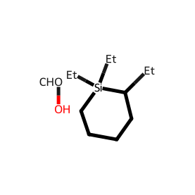 CCC1CCCC[Si]1(CC)CC.O=CO